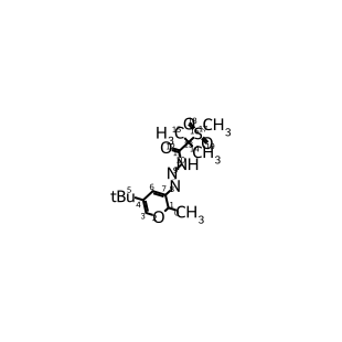 CC1OC=C(C(C)(C)C)C=C1N=NNC(=O)C(C)(C)S(C)(=O)=O